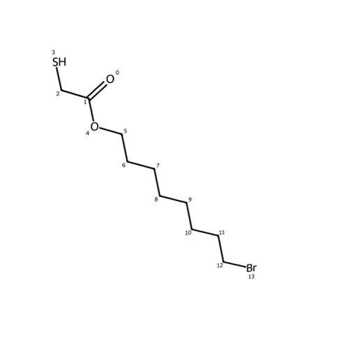 O=C(CS)OCCCCCCCCBr